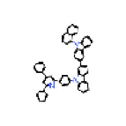 c1ccc(-c2cc(-c3ccccc3)nc(-c3ccc(-n4c5ccccc5c5ccc(-c6ccc7c(c6)c6ccccc6n7-c6cccc7ccccc67)cc54)cc3)c2)cc1